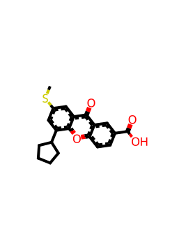 CSc1cc(C2CCCC2)c2oc3ccc(C(=O)O)cc3c(=O)c2c1